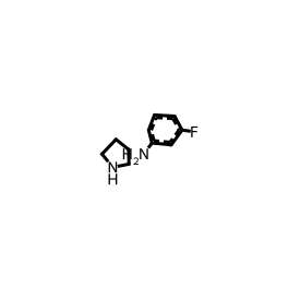 C1CCNC1.Nc1cccc(F)c1